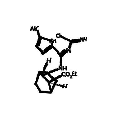 CCOC(=O)[C@H]1C2CCC(CC2)[C@@H]1N/C(=N/C(=N)Cl)c1ccc(C#N)[nH]1